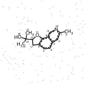 Cc1cc2ccc3c(c2cn1)OC(C(C)(C)O)C3